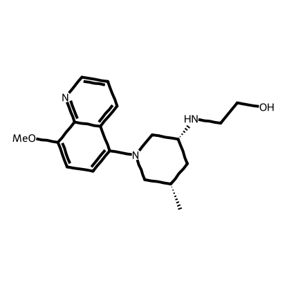 COc1ccc(N2C[C@@H](C)C[C@@H](NCCO)C2)c2cccnc12